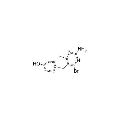 Cc1nc(N)nc(Br)c1Cc1ccc(O)cc1